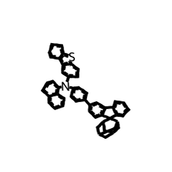 c1ccc2c(c1)-c1cc(-c3ccc(N(c4ccc5sc6ccccc6c5c4)c4cccc5ccccc45)cc3)ccc1C21C2CC3CC(C2)CC1C3